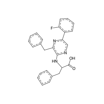 O=C(O)C(Cc1ccccc1)Nc1ncc(-c2ccccc2F)nc1Cc1ccccc1